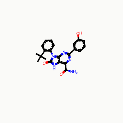 CC(C)(C)c1ccccc1-n1c(=O)[nH]c2c(C(N)=O)nc(-c3cccc(O)c3)nc21